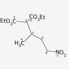 CCOC(=O)C(C(=O)OCC)C(C)CC[N+](=O)[O-]